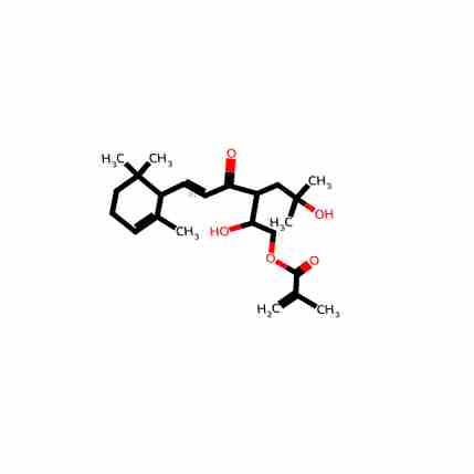 C=C(C)C(=O)OCC(O)C(CC(C)(C)O)C(=O)/C=C/C1C(C)=CCCC1(C)C